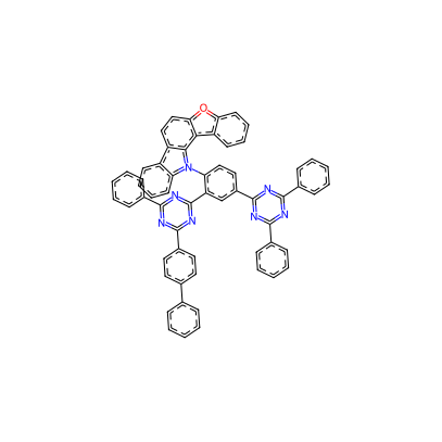 c1ccc(-c2ccc(-c3nc(-c4ccccc4)nc(-c4cc(-c5nc(-c6ccccc6)nc(-c6ccccc6)n5)ccc4-n4c5ccccc5c5ccc6oc7ccccc7c6c54)n3)cc2)cc1